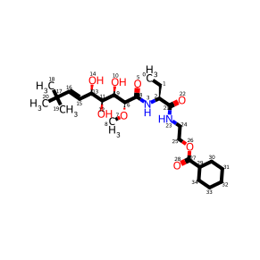 CC[C@H](NC(=O)[C@H](OC)[C@H](O)[C@@H](O)[C@H](O)/C=C/C(C)(C)C)C(=O)NCCOC(=O)C1CCCCC1